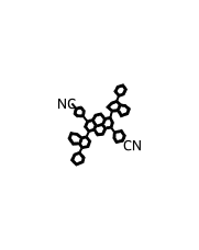 N#Cc1ccc(-c2cc(-c3ccc(-c4ccccc4)c4ccccc34)c3ccc4c(-c5ccc(C#N)cc5)cc(-c5ccc(-c6ccccc6)c6ccccc56)c5ccc2c3c45)cc1